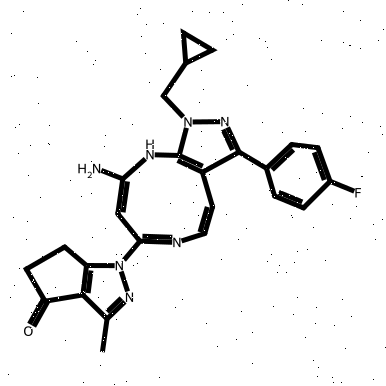 Cc1nn(-c2cc(N)[nH]c3c(ccn2)c(-c2ccc(F)cc2)nn3CC2CC2)c2c1C(=O)CC2